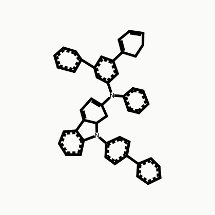 C1=CCCC(c2cc(-c3ccccc3)cc(N(C3=CC=C4c5ccccc5N(c5ccc(-c6ccccc6)cc5)C4C3)c3ccccc3)c2)=C1